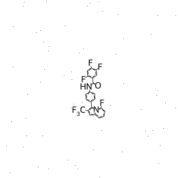 O=C(Nc1ccc(-c2c(C(F)(F)F)cc3cccc(F)n23)cc1)c1cc(F)c(F)cc1F